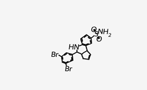 NS(=O)(=O)c1ccc2c(c1)C1C=CCC1C(c1cc(Br)cc(Br)c1)N2